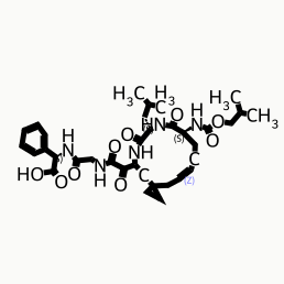 CC(C)COC(=O)N[C@H]1CC/C=C\CC2(CC2)CC(C(=O)C(=O)NCC(=O)N[C@H](C(=O)O)c2ccccc2)NC(=O)[C@H](CC(C)C)NC1=O